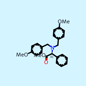 COC(=O)[C@H](c1ccccc1)N(Cc1ccc(OC)cc1)Cc1ccc(OC)cc1